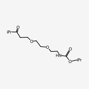 CC(C)OC(=O)NCCOCCOCCC(=O)C(C)C